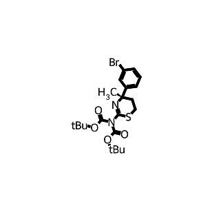 CC(C)(C)OC(=O)N(C(=O)OC(C)(C)C)C1=N[C@](C)(c2cccc(Br)c2)CCS1